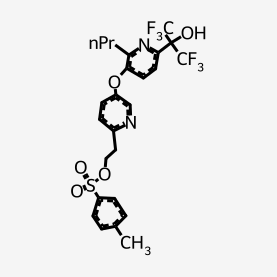 CCCc1nc(C(O)(C(F)(F)F)C(F)(F)F)ccc1Oc1ccc(CCOS(=O)(=O)c2ccc(C)cc2)nc1